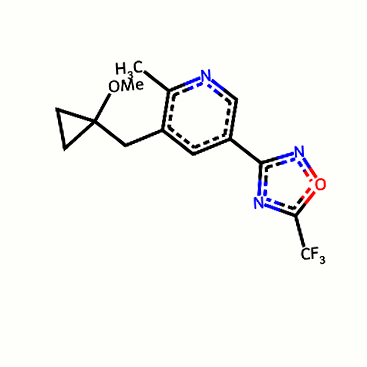 COC1(Cc2cc(-c3noc(C(F)(F)F)n3)cnc2C)CC1